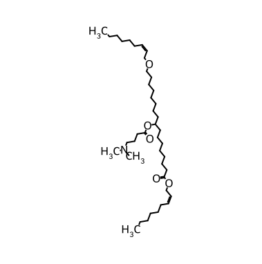 CCCCCC/C=C\COCCCCCCCCC(CCCCCCCC(=O)OC/C=C\CCCCCC)OC(=O)CCCN(C)C